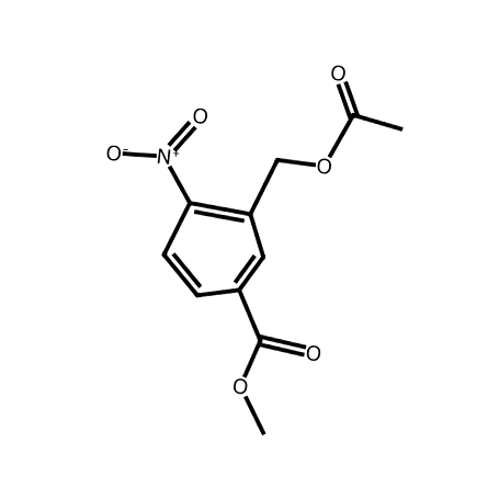 COC(=O)c1ccc([N+](=O)[O-])c(COC(C)=O)c1